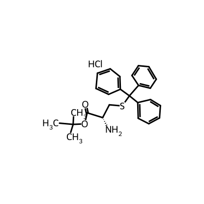 CC(C)(C)OC(=O)[C@@H](N)CSC(c1ccccc1)(c1ccccc1)c1ccccc1.Cl